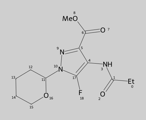 CCC(=O)Nc1c(C(=O)OC)nn(C2CCCCO2)c1F